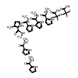 CNC(=O)c1[nH]ccc1N.CNC(=O)c1ccc[nH]1.CNC(=O)c1ccc[nH]1.CNC(=O)c1ccc[nH]1.CNC(=O)c1ccc[nH]1.CNC(=O)c1ccc[nH]1.O=C(O)C(F)(F)F.O=C(O)C(F)(F)F